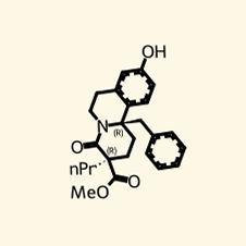 CCC[C@@]1(C(=O)OC)CC[C@@]2(Cc3ccccc3)c3ccc(O)cc3CCN2C1=O